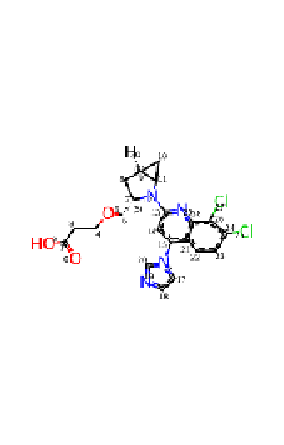 O=C(O)CCOC[C@@H]1C[C@H]2CC2N1c1cc(-n2ccnc2)c2ccc(Cl)c(Cl)c2n1